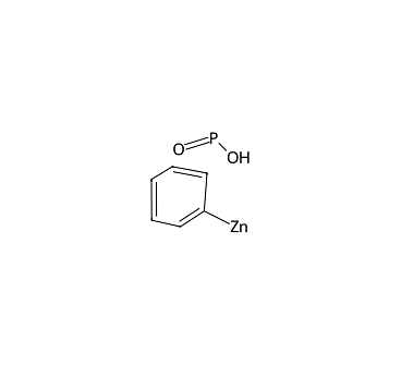 O=PO.[Zn][c]1ccccc1